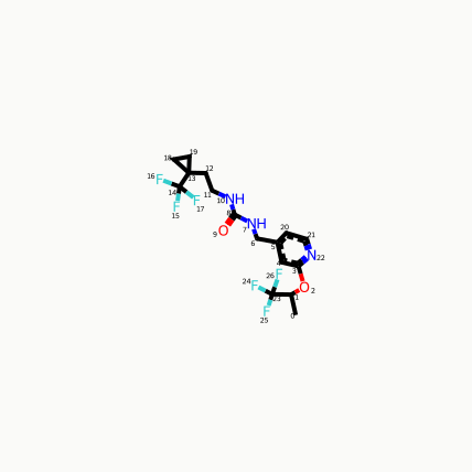 CC(Oc1cc(CNC(=O)NCCC2(C(F)(F)F)CC2)ccn1)C(F)(F)F